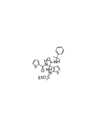 CCOC(=O)N1NC(NC(=O)c2cccs2)(C(=O)NC(C)(C)c2ccccc2)c2ccsc21